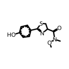 CON(C)C(=O)C1CSC(c2ccc(O)cc2)=N1